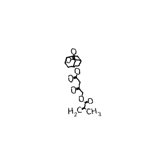 C=C(C)C(=O)OCC(=O)CC(=O)OC12CC3CC(C1)OC(=O)C(C3)C2